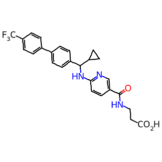 O=C(O)CCNC(=O)c1ccc(NC(c2ccc(-c3ccc(C(F)(F)F)cc3)cc2)C2CC2)nc1